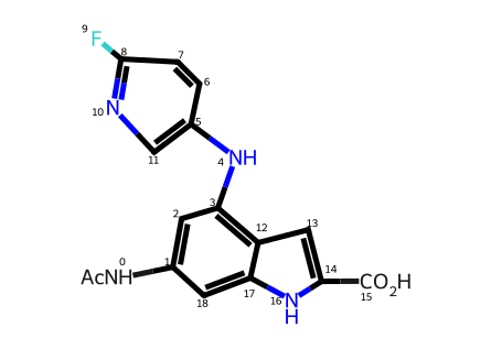 CC(=O)Nc1cc(Nc2ccc(F)nc2)c2cc(C(=O)O)[nH]c2c1